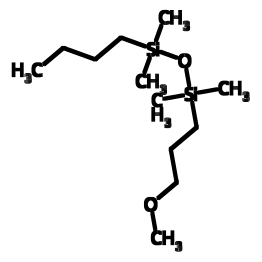 CCCC[Si](C)(C)O[Si](C)(C)CCCOC